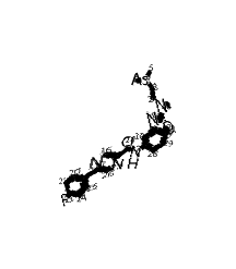 CN(CC[As](C)C)c1nc2cc(NC(=O)c3cnc(-c4ccc(F)cc4)cn3)ccc2o1